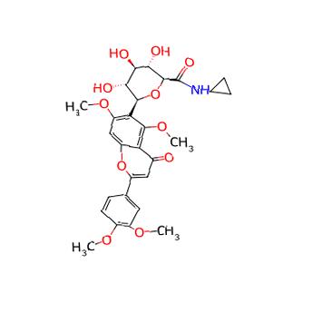 COc1ccc(-c2cc(=O)c3c(OC)c([C@@H]4O[C@H](C(=O)NC5CC5)[C@@H](O)[C@H](O)[C@H]4O)c(OC)cc3o2)cc1OC